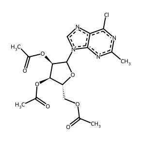 CC(=O)OC[C@H]1OC(n2cnc3c(Cl)nc(C)nc32)[C@H](OC(C)=O)[C@@H]1OC(C)=O